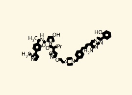 CC(NC(=O)[C@@H]1C[C@@H](O)CN1C(=O)C(c1cc(OCCN2CCN(Cc3ccc(C/C=C/c4cn5cc(-c6ccccc6O)nc5nc4N)cc3)CC2)no1)C(C)C)c1ccc(-c2ccnn2C)cc1